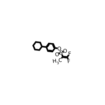 CC(=C(F)F)S(=O)(=O)Oc1ccc(C2CCCCC2)cc1